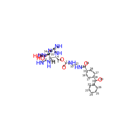 N=C1N[C@H]2[C@H](COC(=O)NCCNC(=O)c3ccc(C(=O)c4ccccc4)cc3)NC(=N)N3CCC(O)(O)[C@]23N1